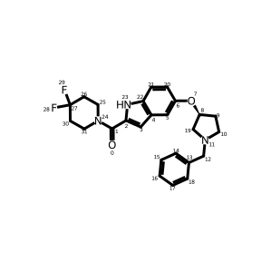 O=C(c1cc2cc(O[C@H]3CCN(Cc4ccccc4)C3)ccc2[nH]1)N1CCC(F)(F)CC1